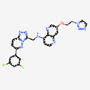 Fc1cc(F)cc(-c2ccc3nnc(CNc4ccnc5cc(OCCn6ccnn6)cnc45)n3n2)c1